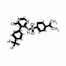 CC(C)c1ccc(S(=O)(=O)Nc2ncnc(Cl)c2-c2ccc(C(F)(F)F)cc2)cc1